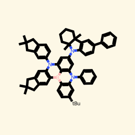 CC1(C)Cc2ccc(N3c4cc5c(cc4B4c6ccc(C(C)(C)C)cc6N(c6ccccc6)c6cc(N7c8ccc(-c9ccccc9)cc8C8(C)CCCCC78C)cc3c64)CC(C)(C)C5)cc2C1